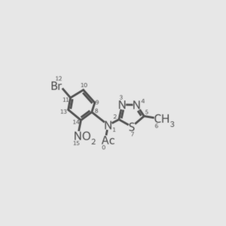 CC(=O)N(c1nnc(C)s1)c1ccc(Br)cc1[N+](=O)[O-]